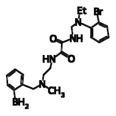 Bc1ccccc1CN(C)CCNC(=O)C(=O)NCN(CC)c1ccccc1Br